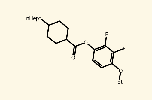 CCCCCCCC1CCC(C(=O)Oc2ccc(OCC)c(F)c2F)CC1